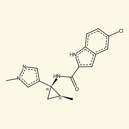 C[C@H]1C[C@]1(NC(=O)c1cc2cc(Cl)ccc2[nH]1)c1cnn(C)c1